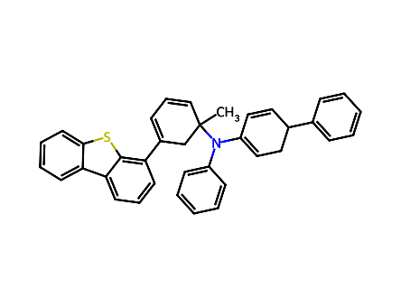 CC1(N(C2=CCC(c3ccccc3)C=C2)c2ccccc2)C=CC=C(c2cccc3c2sc2ccccc23)C1